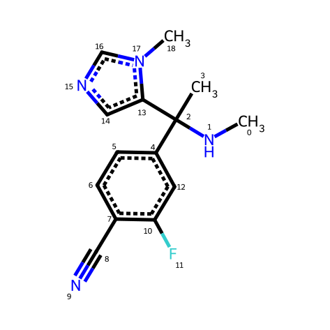 CNC(C)(c1ccc(C#N)c(F)c1)c1cncn1C